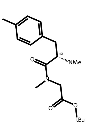 CN[C@@H](Cc1ccc(C)cc1)C(=O)N(C)CC(=O)OC(C)(C)C